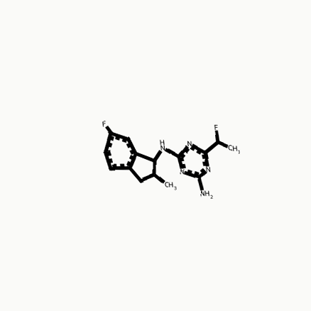 CC(F)c1nc(N)nc(NC2c3cc(F)ccc3CC2C)n1